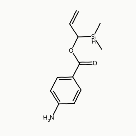 C=CC(OC(=O)c1ccc(N)cc1)[SiH](C)C